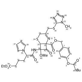 CCCCC(=O)Oc1ccc(COC(=O)C23N=C(CSc4nnnn4C)CSC2C(NC(=O)C(CCCC(=O)OCC)n2cccc2)(OC)C3=O)cc1